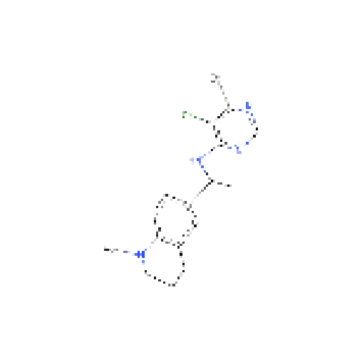 CCc1ncnc(NC(C)c2ccc3c(c2)CCCN3C(C)=O)c1Cl